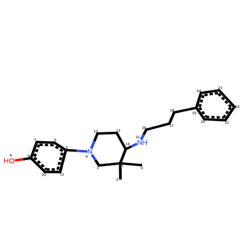 CC1(C)CN(c2ccc(O)cc2)CCC1NCCCc1ccccc1